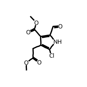 COC(=O)Cc1c(Cl)[nH]c(C=O)c1C(=O)OC